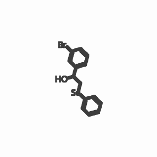 OC(C[Se]c1ccccc1)c1cccc(Br)c1